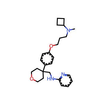 CN(CCCOc1ccc(C2(CNc3ccccn3)CCOCC2)cc1)C1CCC1